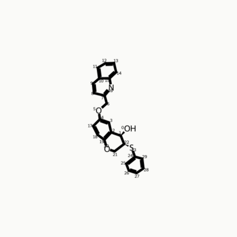 O[C@@H]1c2cc(OCc3ccc4ccccc4n3)ccc2OC[C@H]1Sc1ccccc1